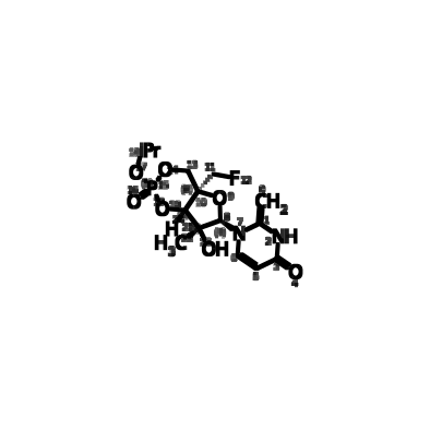 C=C1NC(=O)C=CN1[C@@H]1O[C@]2(CF)CO[P@@](=O)(OC(C)C)O[C@H]2[C@@]1(C)O